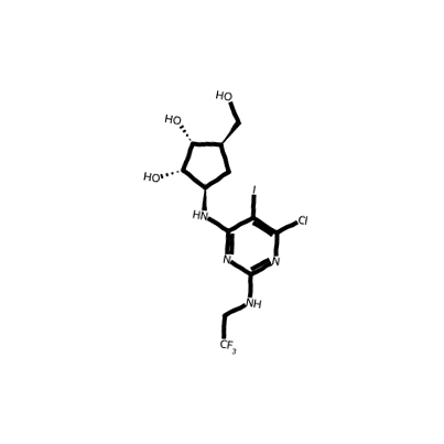 OC[C@H]1C[C@@H](Nc2nc(NCC(F)(F)F)nc(Cl)c2I)[C@H](O)[C@@H]1O